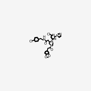 O=C(CC1CN(C(=O)Cc2ccc3c(c2)OCO3)CCN1c1cc(Cl)nc(-n2ccnc2)n1)NCCc1ccc(Cl)cc1